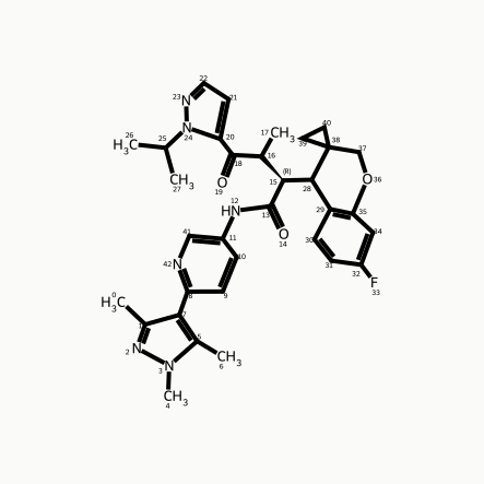 Cc1nn(C)c(C)c1-c1ccc(NC(=O)[C@@H](C(C)C(=O)c2ccnn2C(C)C)C2c3ccc(F)cc3OCC23CC3)cn1